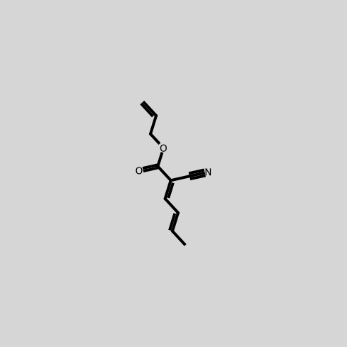 C=CCOC(=O)C(C#N)=CC=CC